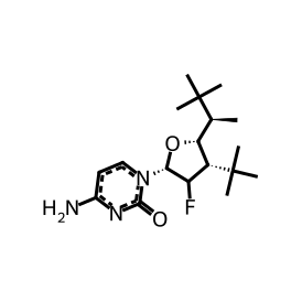 C[C@@H]([C@H]1O[C@@H](n2ccc(N)nc2=O)C(F)[C@H]1C(C)(C)C)C(C)(C)C